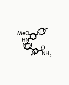 COc1cc(N2CCN(C)CC2)ccc1Nc1nccc(-c2cc(C(N)=O)cn2C)n1